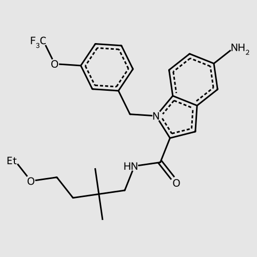 CCOCCC(C)(C)CNC(=O)c1cc2cc(N)ccc2n1Cc1cccc(OC(F)(F)F)c1